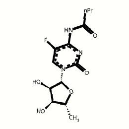 CCCC(=O)Nc1nc(=O)n([C@@H]2O[C@H](C)[C@@H](O)[C@H]2O)cc1F